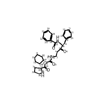 O=C(NCCC(=O)[C@H](Cc1ccccc1)NC(=O)c1ccccc1)OC(=O)[C@]1(C2CCCCC2)CCCN1